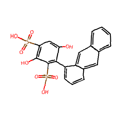 O=S(=O)(O)c1cc(O)c(-c2cccc3cc4ccccc4cc23)c(S(=O)(=O)O)c1O